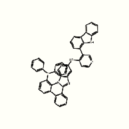 c1ccc(P(c2ccccc2)c2cccc3c4ccccc4c4nc5cc(Pc6ccncc6-c6cccc7c6[nH]c6ccccc67)ccc5n4c23)cc1